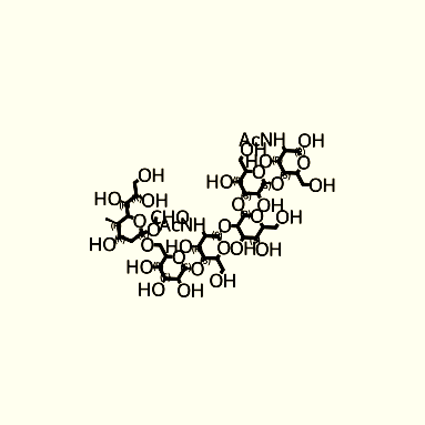 CC(=O)NC1[C@H](OC2C(O)[C@H](O)C(CO)O[C@@H]2O[C@@H]2C(O)[C@H](O[C@@H]3C(CO)O[C@@H](O)C(NC(C)=O)[C@H]3O)OC(CO)[C@H]2O)OC(CO)[C@@H](O[C@@H]2OC(CO[C@]3(OC=O)C[C@@H](O)[C@@H](C)C([C@H](O)[C@H](O)CO)O3)[C@H](O)[C@H](O)C2O)[C@@H]1O